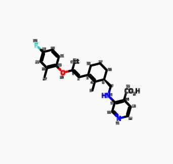 CC/C(=C\C1=C(C)[C@H](CNc2cnccc2C(=O)O)CCC1)Oc1ccc(F)cc1C